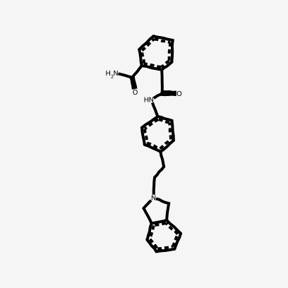 NC(=O)c1ccccc1C(=O)Nc1ccc(CCN2Cc3ccccc3C2)cc1